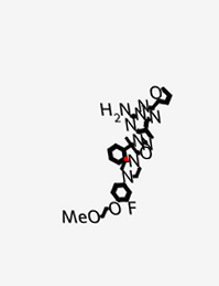 COCCOc1ccc(N2CCN(C(=O)C(C)(c3ccccc3)n3ncc4c3nc(N)n3nc(-c5ccco5)nc43)CC2)cc1F